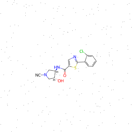 N#CN1C[C@@H](O)[C@H](NC(=O)c2cnc(-c3ccccc3Cl)s2)C1